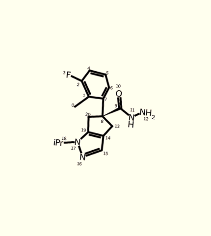 Cc1c(F)cccc1[C@]1(C(=O)NN)Cc2cnn(C(C)C)c2C1